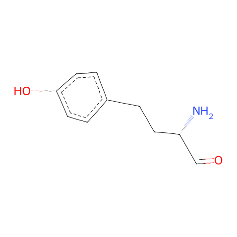 N[C@H](C=O)CCc1ccc(O)cc1